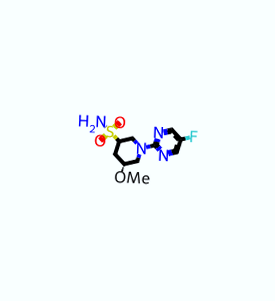 CO[C@@H]1CC(S(N)(=O)=O)CN(c2ncc(F)cn2)C1